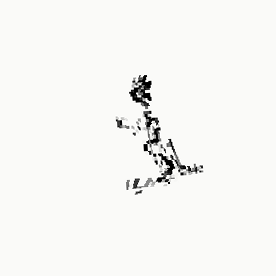 CON=C(C(=O)NC1C(=O)N2C(C(=O)O)=C(CSc3ccc4nnnn4n3)CS[C@@H]12)c1nsc(N)n1